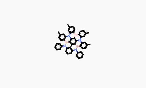 Cc1ccc2c(c1)N1c3cc(C)ccc3B3c4c5c6c7c(c41)B2c1ccc(C)cc1N7c1cc(C)ccc1B6N(c1ccccc1)c1cccc(c1-5)N3c1ccccc1